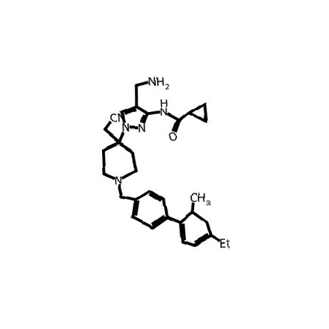 CCC1=CC=C(c2ccc(CN3CCC(CC#N)(n4cc(CN)c(NC(=O)C5CC5)n4)CC3)cc2)C(C)C1